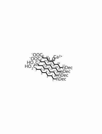 CCCCCCCCCCCCCCCCCC(=O)O.CCCCCCCCCCCCCCCCCC(=O)O.CCCCCCCCCCCCCCCCCC(=O)[O-].CCCCCCCCCCCCCCCCCC(=O)[O-].O.[Ca+2]